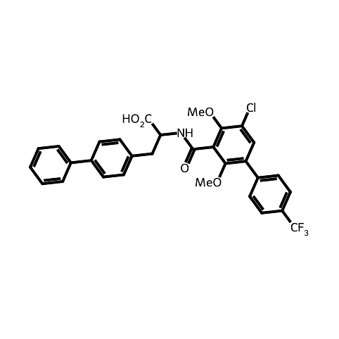 COc1c(Cl)cc(-c2ccc(C(F)(F)F)cc2)c(OC)c1C(=O)NC(Cc1ccc(-c2ccccc2)cc1)C(=O)O